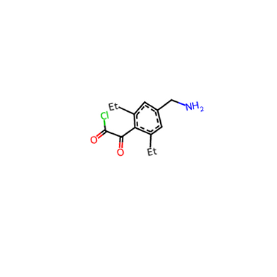 CCc1cc(CN)cc(CC)c1C(=O)C(=O)Cl